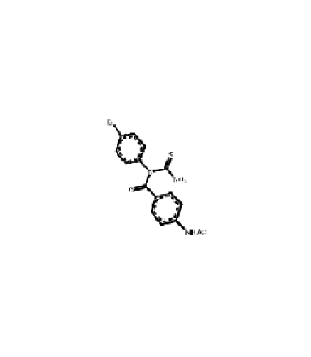 CCc1ccc(N(C(=O)c2ccc(NC(C)=O)cc2)C(N)=S)cc1